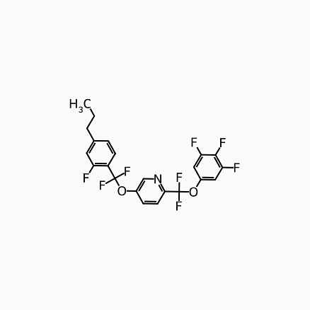 CCCc1ccc(C(F)(F)Oc2ccc(C(F)(F)Oc3cc(F)c(F)c(F)c3)nc2)c(F)c1